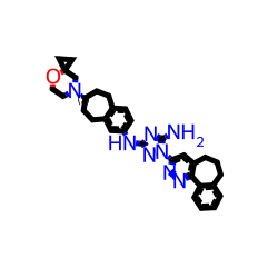 Nc1nc(Nc2ccc3c(c2)CC[C@@H](N2CCOC4(CC4)C2)CC3)nn1-c1cc2c(nn1)-c1ccccc1CCC2